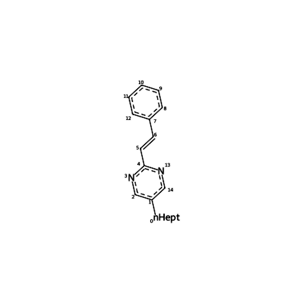 CCCCCCCc1cnc(C=Cc2ccccc2)nc1